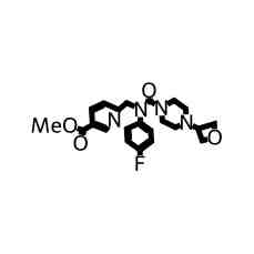 COC(=O)c1ccc(CN(C(=O)N2CCN(C3COC3)CC2)c2ccc(F)cc2)nc1